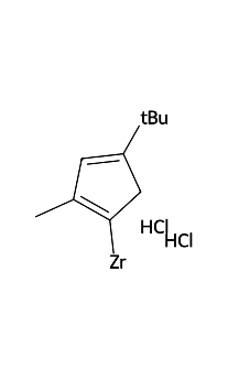 CC1=[C]([Zr])CC(C(C)(C)C)=C1.Cl.Cl